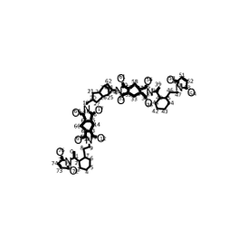 C=C(C1CCCCC1CCn1c(=O)c2cc3c(=O)n(CC4CC5C6CC(C5C4)C(n4c(=O)c5cc7c(=O)n(C(=C)C8CCCCC8CCN8C(=O)C=CC8=O)c(=O)c7cc5c4=O)C6)c(=O)c3cc2c1=O)N1C(=O)C=CC1=O